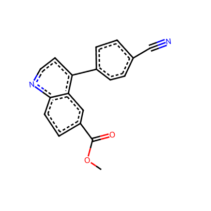 COC(=O)c1ccc2nccc(-c3ccc(C#N)cc3)c2c1